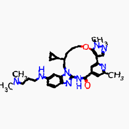 Cc1cc2cc(n1)-c1cnn(C)c1OCCCC(C1CC1)Cn1c(nc3ccc(NCCCN(C)C)cc31)NC2=O